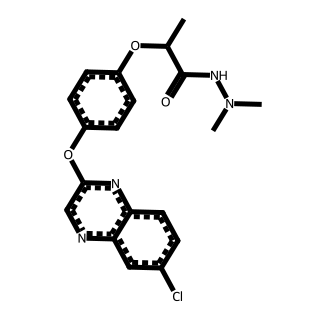 CC(Oc1ccc(Oc2cnc3cc(Cl)ccc3n2)cc1)C(=O)NN(C)C